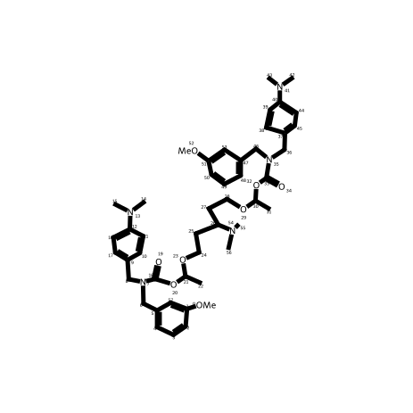 COc1cccc(CN(Cc2ccc(N(C)C)cc2)C(=O)OC(C)OCCC(CCOC(C)OC(=O)N(Cc2ccc(N(C)C)cc2)Cc2cccc(OC)c2)N(C)C)c1